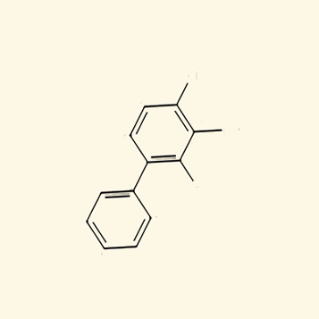 Fc1c(-c2ccccc2)ccc(C(F)(F)F)c1F